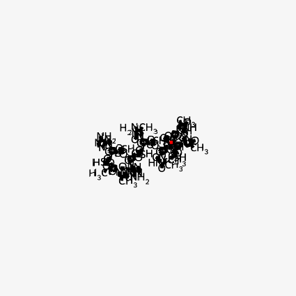 CC[C@H]1O[C@@H](n2cc(C)c(=O)[nH]c2=O)CC1OP(=O)(S)OC[C@H]1O[C@@H](n2cnc3c(N)ncnc32)CC1OP(=O)(S)OC[C@H]1O[C@@H](n2cnc3c(N)ncnc32)CC1OP(=O)(S)OC[C@H]1O[C@@H](n2cc(C)c(N)nc2=O)CC1OP(=O)(S)OC[C@H]1O[C@@H](n2cc(C)c(=O)[nH]c2=O)CC1OP(=O)(S)OC[C@H]1O[C@@H](n2cc(C)c(=O)[nH]c2=O)CC1OP(=O)(S)OC[C@H]1O[C@@H](n2cc(C)c(=O)[nH]c2=O)CC1OP(=O)(S)OC